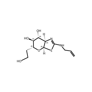 C=CCNC1=N[C@@H]2[C@@H](O)[C@H](O)[C@@H](CCO)O[C@@H]2S1